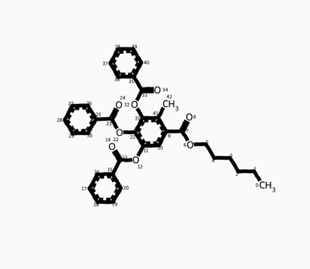 CCCCCCOC(=O)c1cc(OC(=O)c2ccccc2)c(OC(=O)c2ccccc2)c(OC(=O)c2ccccc2)c1C